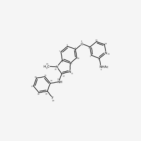 CC(=O)Nc1cc(Oc2ccc3c(c2)nc(Nc2ccccc2F)n3C)ccn1